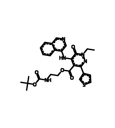 CCn1nc(-c2ccsc2)c(C(=O)OCCNC(=O)OC(C)(C)C)c(Nc2cncc3ccccc23)c1=O